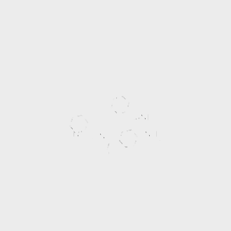 CCCc1ccc(C(=N)c2cc(C(=O)NCc3ccccn3)ccc2N)cc1